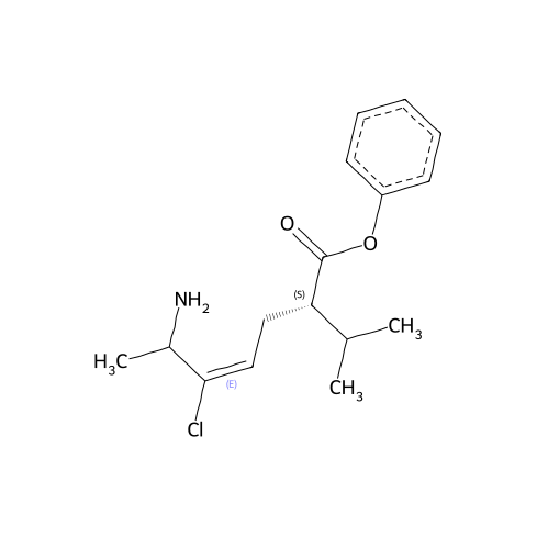 CC(N)/C(Cl)=C\C[C@H](C(=O)Oc1ccccc1)C(C)C